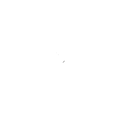 CCCCCCC(C#C[C@H](C)OC1CCN(CC(CCCC)CCCCC)CC1)CCCCC